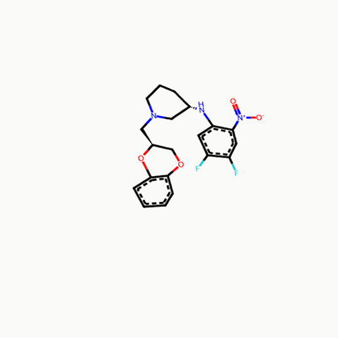 O=[N+]([O-])c1cc(F)c(F)cc1N[C@H]1CCCN(C[C@H]2COc3ccccc3O2)C1